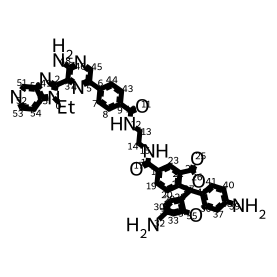 CCn1c(-c2nc(-c3ccc(C(=O)NCCNC(=O)c4ccc5c(c4)C(=O)OC54c5ccc(N)cc5Oc5cc(N)ccc54)cc3)cnc2N)nc2cnccc21